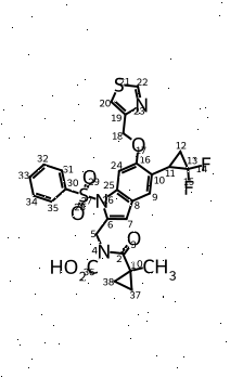 CC1(C(=O)N(Cc2cc3cc(C4CC4(F)F)c(OCc4cscn4)cc3n2S(=O)(=O)c2ccccc2)C(=O)O)CC1